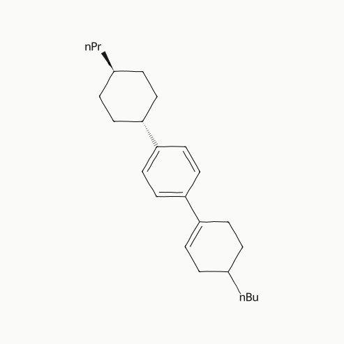 CCCCC1CC=C(c2ccc([C@H]3CC[C@H](CCC)CC3)cc2)CC1